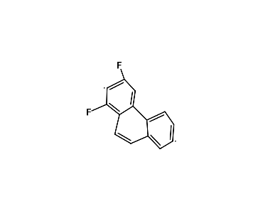 Fc1[c]c(F)c2ccc3c[c]ccc3c2c1